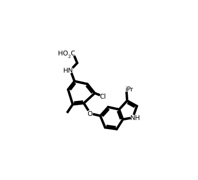 Cc1cc(NCC(=O)O)cc(Cl)c1Oc1ccc2[nH]cc(C(C)C)c2c1